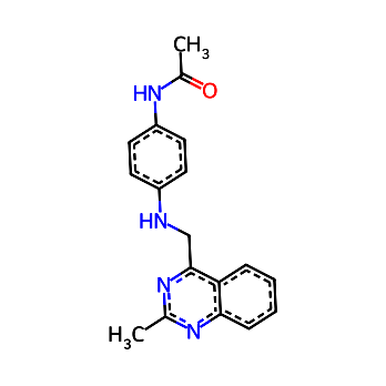 CC(=O)Nc1ccc(NCc2nc(C)nc3ccccc23)cc1